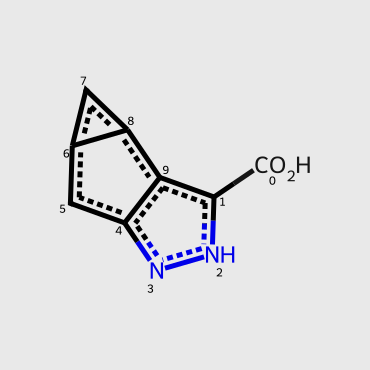 O=C(O)c1[nH]nc2cc3cc-3c12